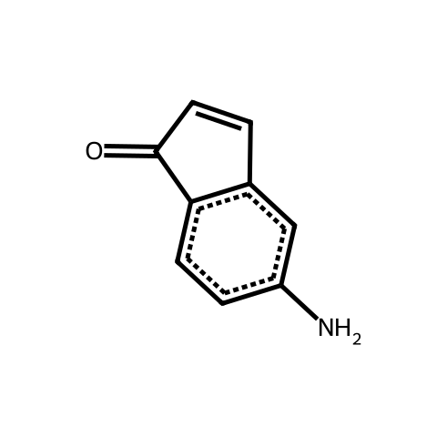 Nc1ccc2c(c1)C=CC2=O